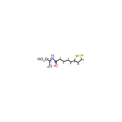 CCC(NC(=O)CCCC[C@@H]1CCSS1)C(=O)O